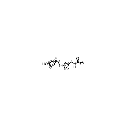 C=CC(=O)NCc1cn(CC[N+](C)(C)CC(=O)O)nn1